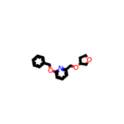 c1ccc(COc2cccc(COC3CCOC3)n2)cc1